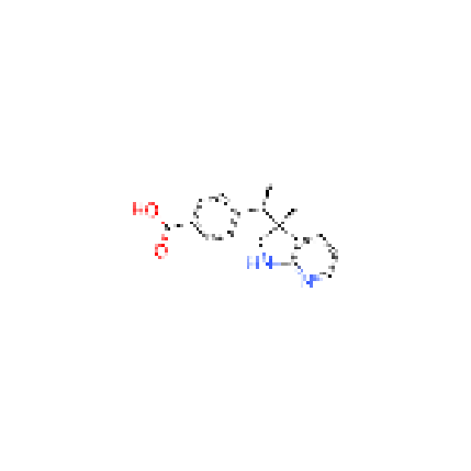 C[C@H](c1ccc(C(=O)O)cc1)[C@@]1(C)CNc2ncccc21